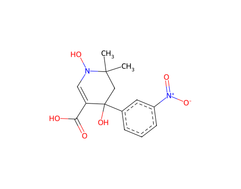 CC1(C)CC(O)(c2cccc([N+](=O)[O-])c2)C(C(=O)O)=CN1O